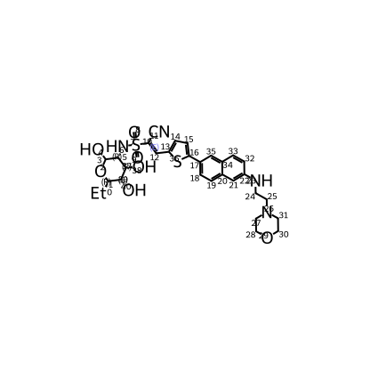 CC[C@H]1OC(O)[C@H](NS(=O)(=O)/C(C#N)=C/c2ccc(-c3ccc4cc(NCCN5CCOCC5)ccc4c3)s2)[C@@H](O)[C@@H]1O